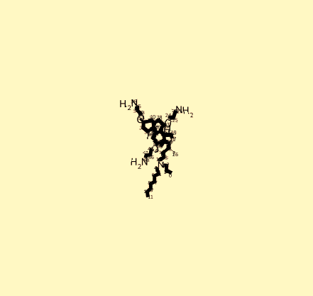 C=CCN(CCCCCCCC)CCC[C@@H](C)[C@H]1CC[C@H]2C3[C@H](OCCCN)CC4C[C@H](OCCCN)CC[C@]4(C)[C@H]3C[C@H](OCCCN)C12C